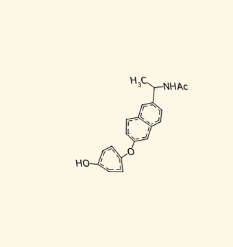 CC(=O)NC(C)c1ccc2cc(Oc3ccc(O)cc3)ccc2c1